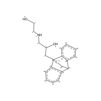 OCCNCC(O)CC12CCC(c3ccccc31)c1ccccc12